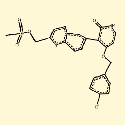 CS(=O)(=O)OCc1ccc2cc(-c3c(OCc4ccc(Cl)cc4)cc[nH]c3=O)ccc2n1